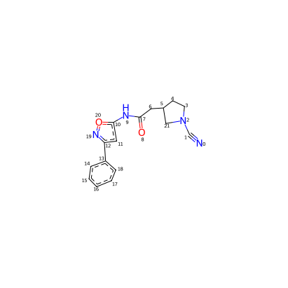 N#CN1CCC(CC(=O)Nc2cc(-c3ccccc3)no2)C1